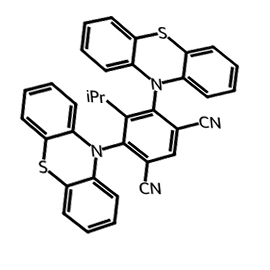 CC(C)c1c(N2c3ccccc3Sc3ccccc32)c(C#N)cc(C#N)c1N1c2ccccc2Sc2ccccc21